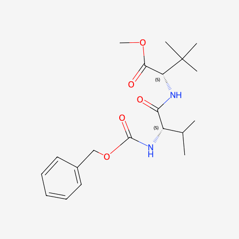 COC(=O)[C@@H](NC(=O)[C@@H](NC(=O)OCc1ccccc1)C(C)C)C(C)(C)C